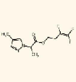 Cc1cnn(C(C)C(=O)OCCC(F)=C(F)F)c1